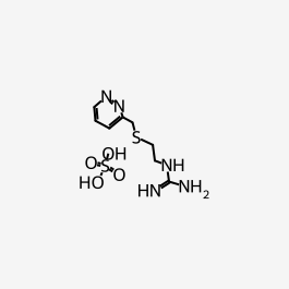 N=C(N)NCCSCc1cccnn1.O=S(=O)(O)O